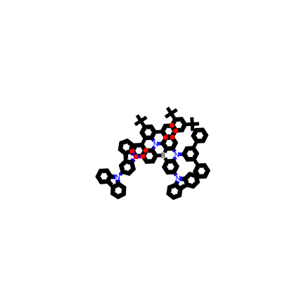 CC(C)(C)c1cc(-c2cc3c4c(c2)N(c2c(-c5ccccc5)cc(C(C)(C)C)cc2-c2ccccc2)c2cc(-n5c6ccccc6c6cc(-n7c8ccccc8c8ccccc87)ccc65)ccc2B4c2ccc(-n4c5ccccc5c5ccccc54)cc2N3c2cc(-c3ccccc3)cc(-c3ccccc3)c2)cc(C(C)(C)C)c1